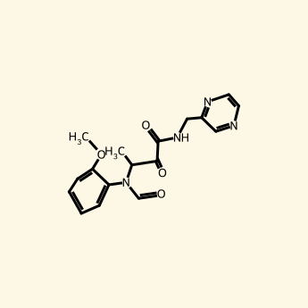 COc1ccccc1N(C=O)C(C)C(=O)C(=O)NCc1cnccn1